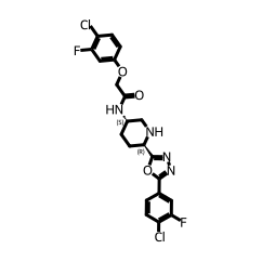 O=C(COc1ccc(Cl)c(F)c1)N[C@H]1CC[C@H](c2nnc(-c3ccc(Cl)c(F)c3)o2)NC1